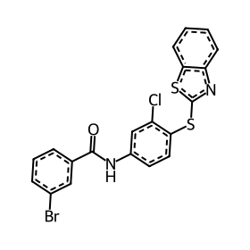 O=C(Nc1ccc(Sc2nc3ccccc3s2)c(Cl)c1)c1cccc(Br)c1